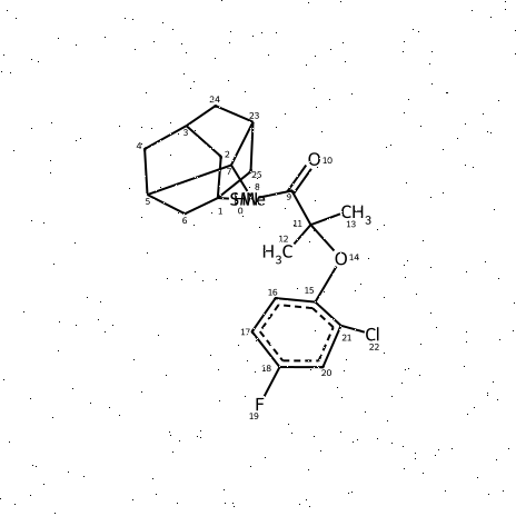 CSC12CC3CC(C1)C(NC(=O)C(C)(C)Oc1ccc(F)cc1Cl)C(C3)C2